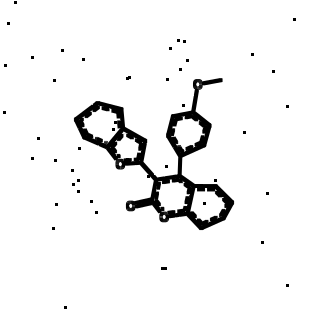 COc1ccc(-c2c(-c3cc4ccccc4o3)c(=O)oc3ccccc23)cc1